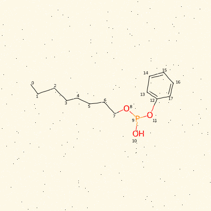 CCCCCCCCOP(O)Oc1ccccc1